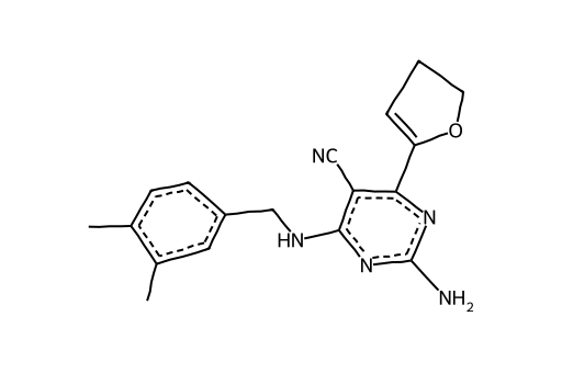 Cc1ccc(CNc2nc(N)nc(C3=CCCO3)c2C#N)cc1C